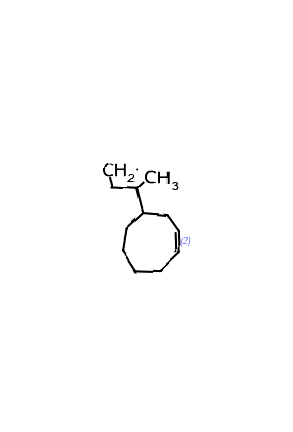 [CH2]CC(C)C1C/C=C\CCCC1